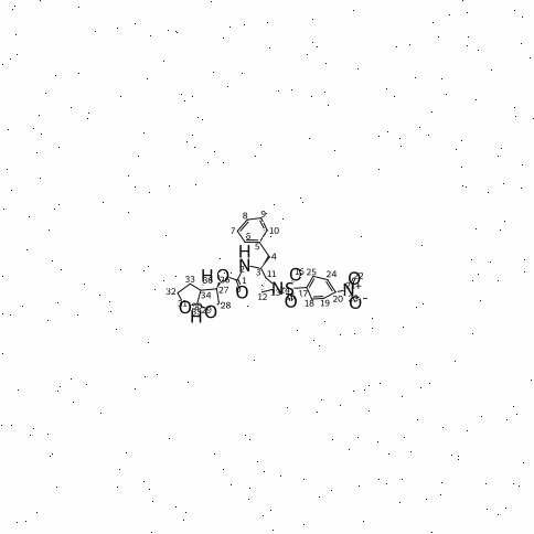 O=C(N[C@@H](Cc1ccccc1)[C@H]1CN1S(=O)(=O)c1ccc([N+](=O)[O-])cc1)O[C@H]1CO[C@H]2OCC[C@H]21